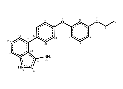 CCOc1cccc(Oc2ccc(-c3cncc4[nH]nc(N)c34)cc2)c1